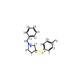 Cc1ccc(SC2CCN(Cc3ccccc3)C2)cc1